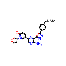 CNCc1ccc(-c2nnc(-c3nc(-c4ccc(=O)n(C5CCOC5)c4)cnc3N)o2)cc1